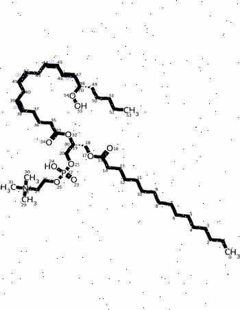 CCCCCCCCCCCCCCCC(=O)OC[C@H](COP(=O)(O)OCC[N+](C)(C)C)OC(=O)CCC/C=C\C/C=C\C/C=C\C=C\[C@H](CCCCC)OO